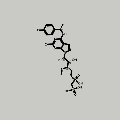 CO[C@H](COP(=O)(O)CP(=O)(O)O)[C@@H](O)[C@H](F)n1ccc2c(N[C@H](C)c3ccc(F)cc3)nc(Cl)nc21